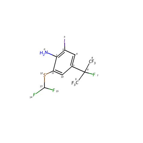 Nc1c(I)cc(C(F)(C(F)(F)F)C(F)(F)F)cc1SC(F)F